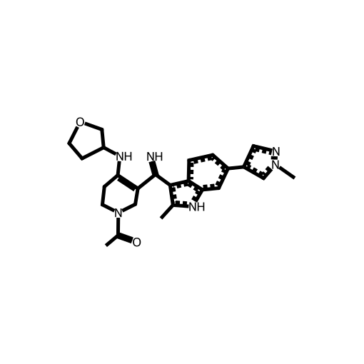 CC(=O)N1CCC(NC2CCOC2)=C(C(=N)c2c(C)[nH]c3cc(-c4cnn(C)c4)ccc23)C1